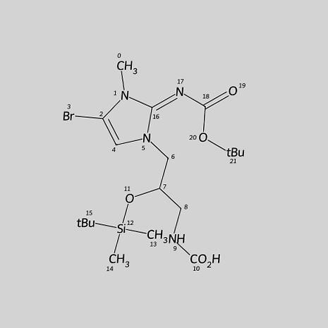 Cn1c(Br)cn(CC(CNC(=O)O)O[Si](C)(C)C(C)(C)C)c1=NC(=O)OC(C)(C)C